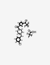 O=C(O)C(F)(F)F.O=C(c1ccc(C(=O)C(F)(F)F)s1)N1CCN(Cc2cccc(Cl)c2)CC1